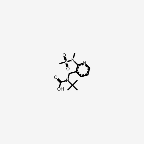 CN(c1ncccc1CN(C(=O)O)C(C)(C)C)S(C)(=O)=O